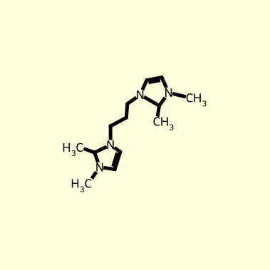 CC1N(C)C=CN1CCCN1C=CN(C)C1C